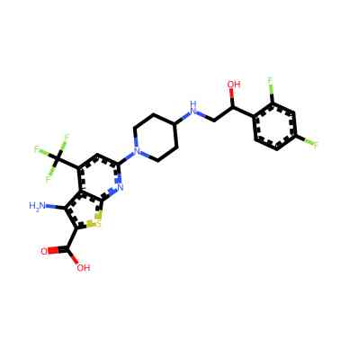 Nc1c(C(=O)O)sc2nc(N3CCC(NCC(O)c4ccc(F)cc4F)CC3)cc(C(F)(F)F)c12